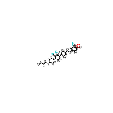 CCCCCC1CCC(c2ccc(-c3ccc(CCc4ccc(OC)c(F)c4)cc3)c(F)c2F)CC1